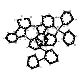 c1ccc(-c2ccccc2-c2ccc(-n3c4ccccc4c4cccc(-n5c6ccccc6c6c([Si](c7ccccc7)(c7ccccc7)c7ccccc7)cccc65)c43)cc2)cc1